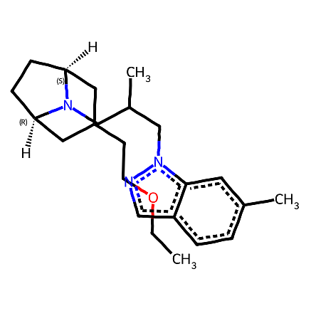 CCOCCC1C[C@H]2CC[C@@H](C1)N2CC(C)Cn1ncc2ccc(C)cc21